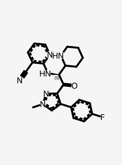 Cn1cc(-c2ccc(F)cc2)c(C(=O)[C@@H](Nc2ncccc2C#N)C2CCCCN2)n1